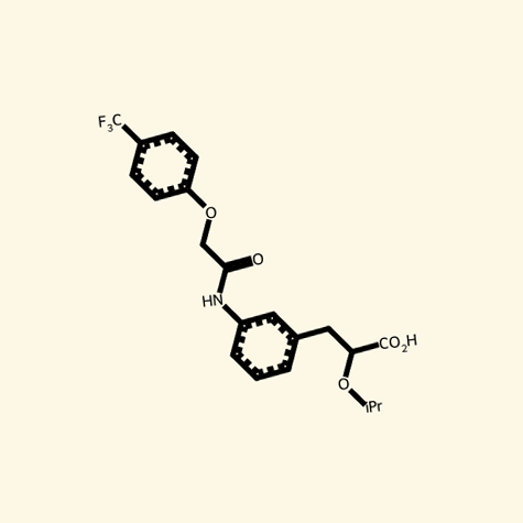 CC(C)OC(Cc1cccc(NC(=O)COc2ccc(C(F)(F)F)cc2)c1)C(=O)O